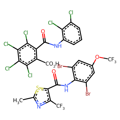 Cc1nc(C(F)(F)F)c(C(=O)Nc2c(Br)cc(OC(F)(F)F)cc2Br)s1.O=C(O)c1c(Cl)c(Cl)c(Cl)c(Cl)c1C(=O)Nc1cccc(Cl)c1Cl